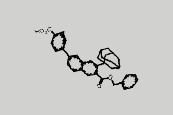 O=C(O)c1ccc(-c2ccc3cc(C(=O)OCc4ccccc4)c(C45CC6CC(CC(C6)C4)C5)cc3c2)cc1